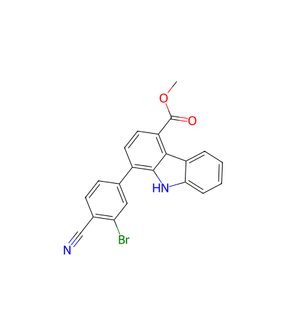 COC(=O)c1ccc(-c2ccc(C#N)c(Br)c2)c2[nH]c3ccccc3c12